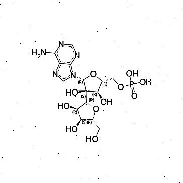 Nc1ncnc2c1ncn2[C@@H]1O[C@H](COP(=O)(O)O)[C@@H](O)[C@]1(O)[C@@H]1O[C@H](CO)[C@@H](O)[C@H]1O